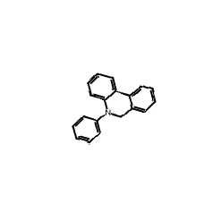 [c]1cccc(N2Cc3ccccc3-c3ccccc32)c1